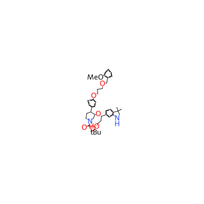 COc1ccccc1COCCCOc1ccc(C2CCN(C(=O)OC(C)(C)C)CC2OC(CCO)c2ccc3c(c2)NCC3(C)C)cc1